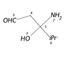 C[C](C)C(N)(O)CC=O